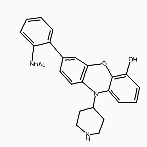 CC(=O)Nc1ccccc1-c1ccc2c(c1)Oc1c(O)cccc1N2C1CCNCC1